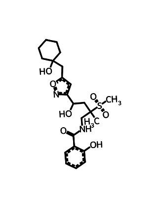 CC(CNC(=O)c1ccccc1O)(CC(O)c1cc(CC2(O)CCCCC2)on1)S(C)(=O)=O